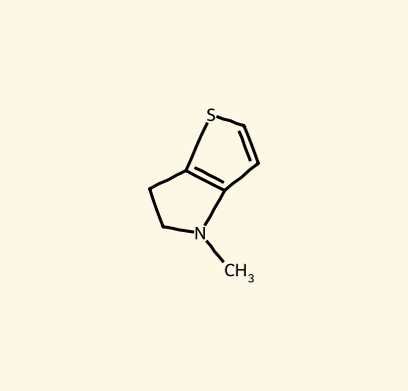 CN1CCc2sccc21